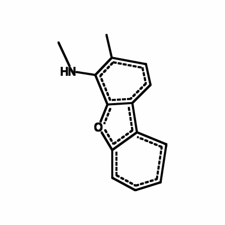 CNc1c(C)ccc2c1oc1ccccc12